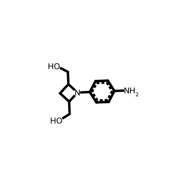 Nc1ccc(N2C(CO)CC2CO)cc1